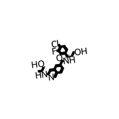 CC(CO)Nc1cc2cc(C(=O)N[C@H](CCO)c3ccc(Cl)c(F)c3)ccc2cn1